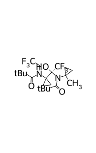 CC(C)(C)C(=O)N(CC(F)(F)F)C1([C@@](O)(N(C(=O)C(C)(C)C)C2(C)CC2)C(F)(F)F)CC1